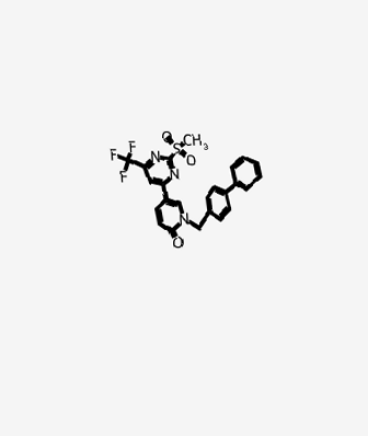 CS(=O)(=O)c1nc(-c2ccc(=O)n(Cc3ccc(-c4ccccc4)cc3)c2)cc(C(F)(F)F)n1